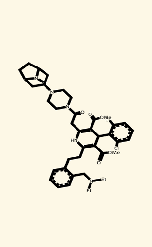 CCN(CC)Cc1ccccc1CCC1=C(C(=O)OC)C(c2c(Cl)cccc2Cl)C(C(=O)OC)=C(CC(=O)N2CCN(C3CC4CCC(C3)N4C)CC2)N1